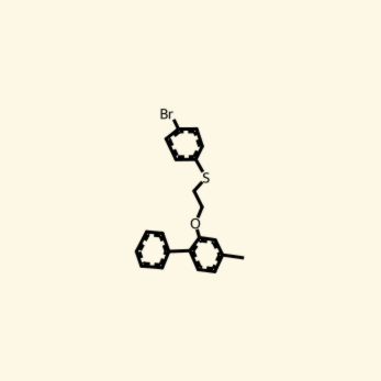 Cc1ccc(-c2ccccc2)c(OCCSc2ccc(Br)cc2)c1